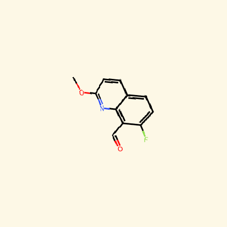 COc1ccc2ccc(F)c(C=O)c2n1